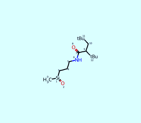 C[Si](=O)CCCNC(=O)C(CC(C)(C)C)C(C)(C)C